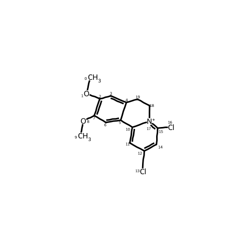 COc1cc2c(cc1OC)-c1cc(Cl)cc(Cl)[n+]1CC2